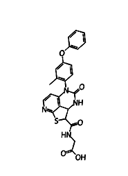 Cc1cc(Oc2ccccc2)ccc1N1C(=O)NC2c3c1ccnc3SC2C(=O)NCC(=O)O